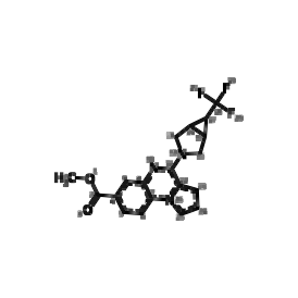 COC(=O)c1ccc2c(c1)nc(N1CC3C(C1)C3C(F)(F)F)c1cccn12